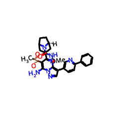 CONC(=O)N1C2CC[C@H]1CC(c1nc3c(-c4ccc(-c5ccccc5)nc4)cnn3c(N)c1S(C)(=O)=O)C2